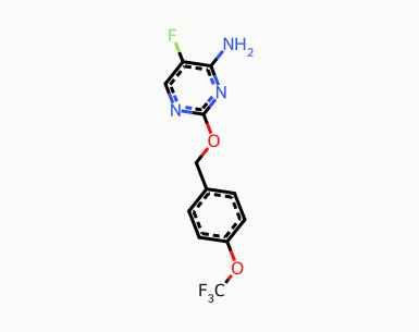 Nc1nc(OCc2ccc(OC(F)(F)F)cc2)ncc1F